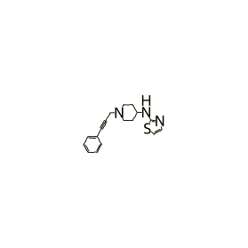 C(#Cc1ccccc1)CN1CCC(Nc2nccs2)CC1